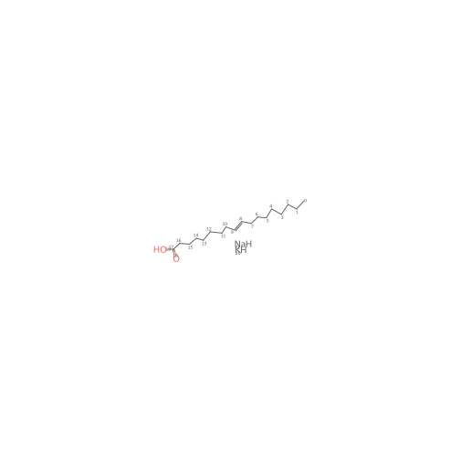 CCCCCCCCC=CCCCCCCCC(=O)O.[KH].[NaH]